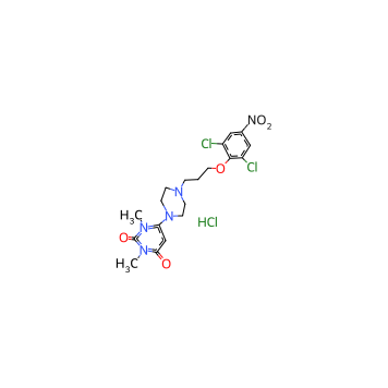 Cl.Cn1c(N2CCN(CCCOc3c(Cl)cc([N+](=O)[O-])cc3Cl)CC2)cc(=O)n(C)c1=O